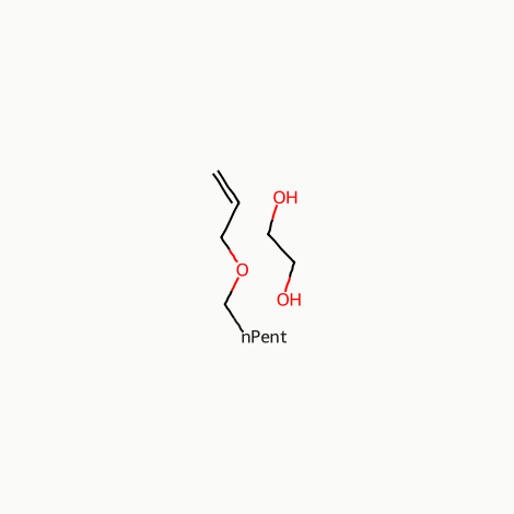 C=CCOCCCCCC.OCCO